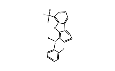 Fc1ccccc1N(I)c1cccc2c1oc1c(C(F)(F)F)cccc12